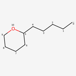 [CH2]CCCCC1CCCCO1